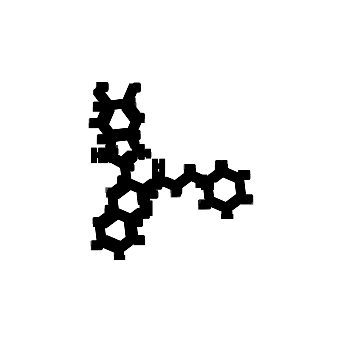 Cc1cc2nc(-c3cc4ccccc4nc3NCCN3CCCCC3)[nH]c2cc1C